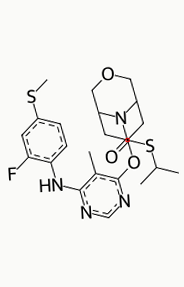 CSc1ccc(Nc2ncnc(OC3CC4COCC(C3)N4C(=O)SC(C)C)c2C)c(F)c1